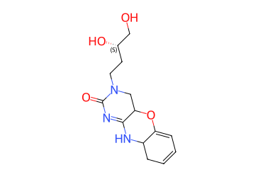 O=C1N=C2NC3CC=CC=C3OC2CN1CC[C@H](O)CO